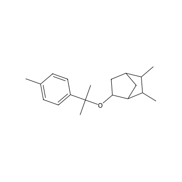 Cc1ccc(C(C)(C)OC2CC3CC2C(C)C3C)cc1